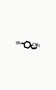 CC/C=C\C1(C#N)CCC(C(C)(C)C)CC1